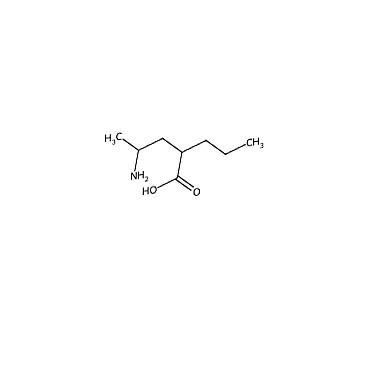 CCCC(CC(C)N)C(=O)O